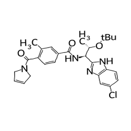 Cc1cc(C(=O)N[C@H](c2nc3cc(Cl)ccc3[nH]2)[C@H](C)OC(C)(C)C)ccc1C(=O)N1CC=CC1